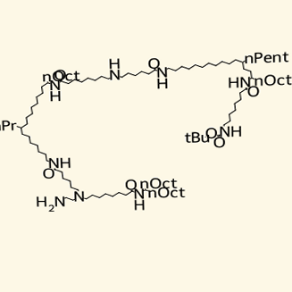 CCCCCCCCC(CCCCCCCC)NC(=O)CCCCCCCN(CCN)CCCCCC(=O)NCCCCCCCC(CCC)CCCCCCCCC(CCCCCCCC)NC(=O)CCCCCCCNCCCCCC(=O)NCCCCCCCCCCCC(CCCCC)CCC(CCCCCCCC)NC(=O)CCCCCCCNC(=O)OC(C)(C)C